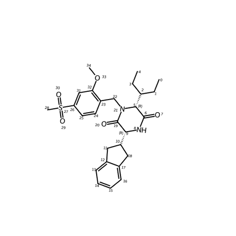 CCC(CC)[C@@H]1C(=O)N[C@H](C2Cc3ccccc3C2)C(=O)N1Cc1ccc(S(C)(=O)=O)cc1OC